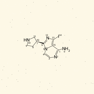 Nc1nccn2c([C@H]3CCNC3)nc(I)c12